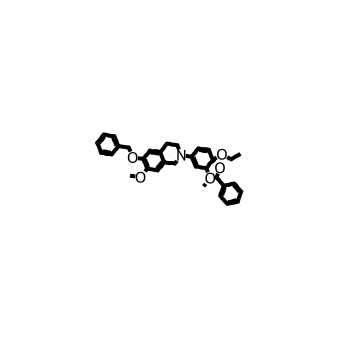 CCOC1(OCc2ccccc2)C=CC(N2CCc3cc(OCc4ccccc4)c(OC)cc3C2)=CC1OC